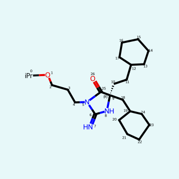 CC(C)OCCCN1C(=N)N[C@](CCC2CCCCC2)(CC2CCCCC2)C1=O